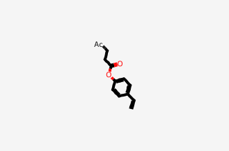 C=Cc1ccc(OC(=O)CCC(C)=O)cc1